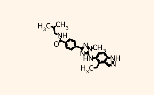 CCc1c(Nc2nc(-c3ccc(C(=O)NCC(C)C)cc3)nn2C)ccc2[nH]ncc12